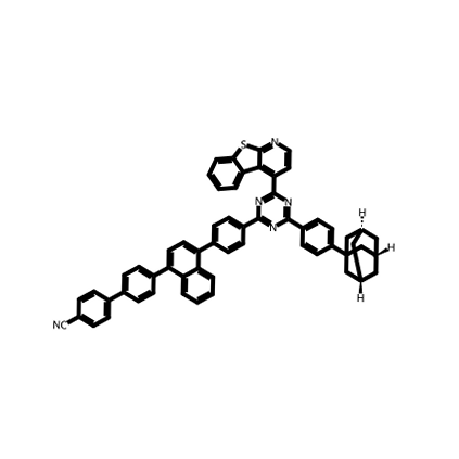 N#Cc1ccc(-c2ccc(-c3ccc(-c4ccc(-c5nc(-c6ccc(C78C[C@H]9C[C@H](C7)C[C@@H](C8)C9)cc6)nc(-c6ccnc7sc8ccccc8c67)n5)cc4)c4ccccc34)cc2)cc1